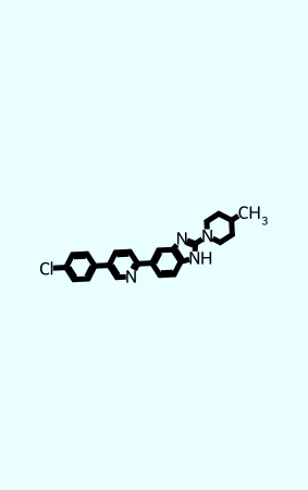 CC1CCN(c2nc3cc(-c4ccc(-c5ccc(Cl)cc5)cn4)ccc3[nH]2)CC1